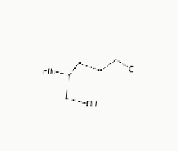 CCCCC(CO)CCCCl